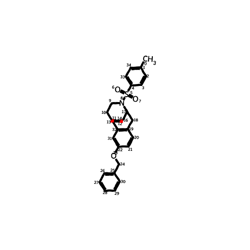 Cc1ccc(S(=O)(=O)N2CCC34CCCCC3C2Cc2ccc(OCc3ccccc3)cc24)cc1